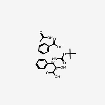 CC(=O)O.CC(C)(C)OC(=O)N[C@@H](c1ccccc1)[C@@H](O)C(=O)O.O=C(O)c1ccccc1